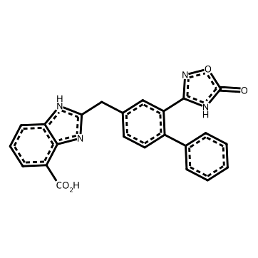 O=C(O)c1cccc2[nH]c(Cc3ccc(-c4ccccc4)c(-c4noc(=O)[nH]4)c3)nc12